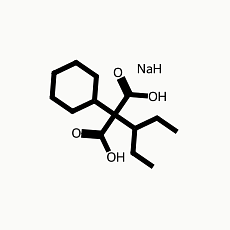 CCC(CC)C(C(=O)O)(C(=O)O)C1CCCCC1.[NaH]